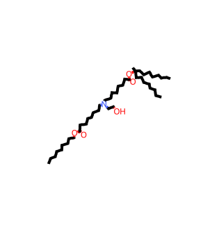 CCCCCCCCCOC(=O)CCCCCCCN(CCO)CCCCCCCC(=O)OC(C)(CCCCCCCC)CCCCCCCC